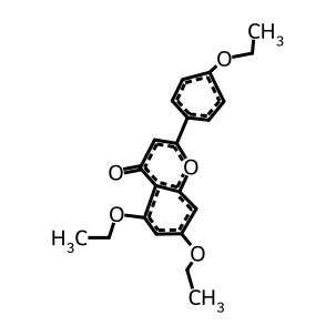 CCOc1ccc(-c2cc(=O)c3c(OCC)cc(OCC)cc3o2)cc1